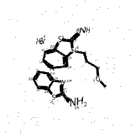 Br.COCCCn1c(=N)sc2ccccc21.Nc1nc2ccccc2s1